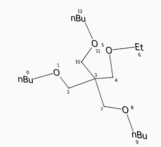 CCCCOCC(COCC)(COCCCC)COCCCC